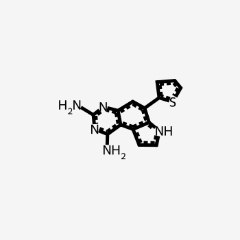 Nc1nc(N)c2c(cc(-c3cccs3)c3[nH]ccc32)n1